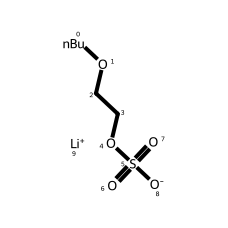 CCCCOCCOS(=O)(=O)[O-].[Li+]